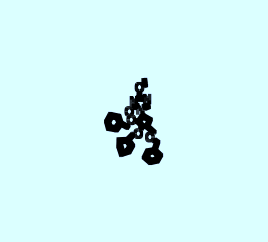 CCOc1ncn(C2CC(COCc3ccccc3)C(OCc3ccccc3)C2OCc2ccccc2)c(=O)n1